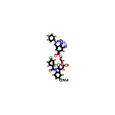 CCCN(Cc1cc(C(=O)OCCOC(=O)Cc2c(C)n(C(=O)c3ccc(Cl)cc3)c3ccc(OC)cc23)cc(Br)c1N)C1CCCCC1